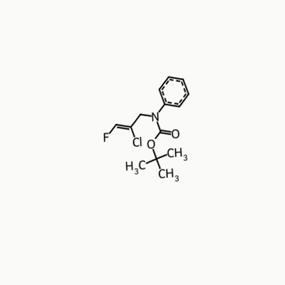 CC(C)(C)OC(=O)N(CC(Cl)=CF)c1ccccc1